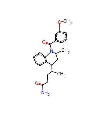 COc1cccc(C(=O)N2c3ccccc3C(C(C)CCC(N)=O)CC2C)c1